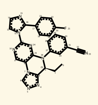 CC[C@H]1c2nncn2-c2cnc(-n3ccnc3-c3ccc(F)cc3)nc2N1c1cccc(C#N)c1